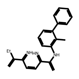 C=C(CC)C(=N)/C=C\C(=N)C(=C)Nc1cccc(-c2ccccc2)c1C